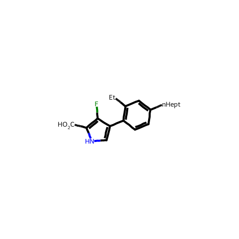 CCCCCCCc1ccc(-c2c[nH]c(C(=O)O)c2F)c(CC)c1